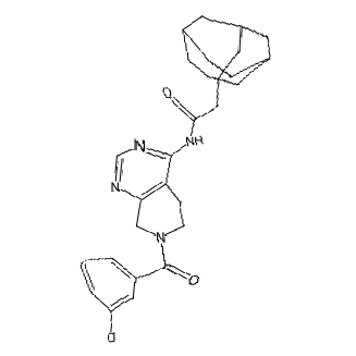 O=C(CC12CC3CC(CC(C3)C1)C2)Nc1ncnc2c1CCN(C(=O)c1cccc(Cl)c1)C2